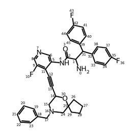 NC(C(=O)Nc1cncc(F)c1C#CC1CN(Cc2ccccc2)CC2(CCCC2)O1)C(c1ccc(F)cc1)c1ccc(F)cc1